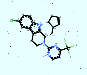 FC(F)(F)c1ccnc(N2CCc3c([nH]c4ccc(Cl)cc34)[C@@H]2CC2C=CCC2)n1